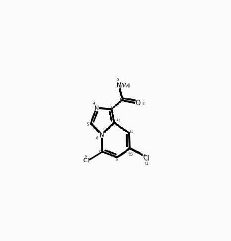 CNC(=O)c1ncn2c(Cl)cc(Cl)cc12